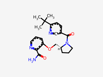 CC(C)(C)c1ccc(C(=O)N2CCC[C@@H]2COc2cccnc2C(N)=O)cn1